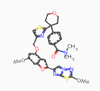 COc1cc(OCc2csc(C3(c4ccc(C(=O)N(C)C)cc4)CCOCC3)n2)c2cc(-c3cn4nc(OC)sc4n3)oc2c1